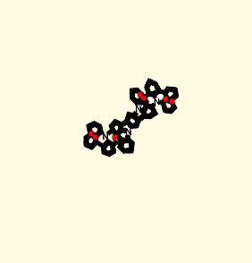 C[Si](C)(C)c1cccc(-c2ccccc2)c1N(c1ccccc1)c1ccc2c3cc4c(cc3n3c5ccccc5c1c23)c1ccc(N(c2ccccc2)c2c(-c3ccccc3)cccc2[Si](C)(C)C)c2c3ccccc3n4c12